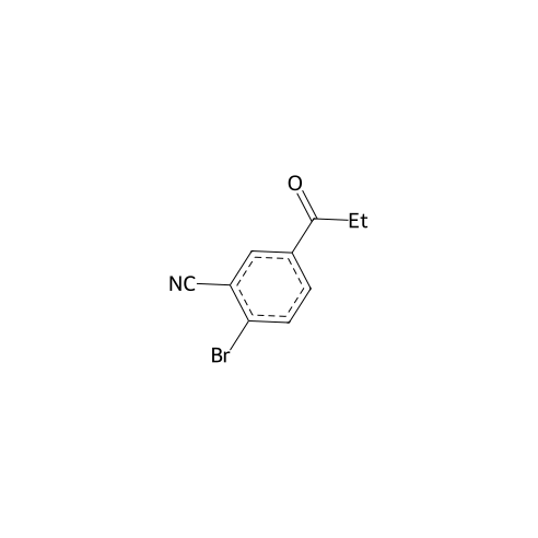 CCC(=O)c1ccc(Br)c(C#N)c1